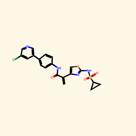 C=C(C(=O)Nc1ccc(-c2cncc(Cl)c2)cc1)c1csc(NS(=O)(=O)C2CC2)n1